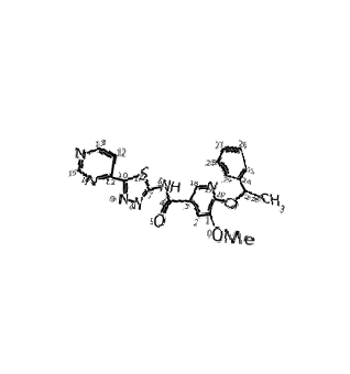 COc1cc(C(=O)Nc2nnc(-c3ccncn3)s2)cnc1OC(C)c1ccccc1